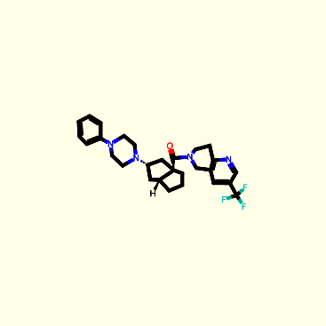 O=C(N1CCc2ncc(C(F)(F)F)cc2C1)[C@@]12CCC[C@@H]1C[C@H](N1CCN(c3ccccc3)CC1)C2